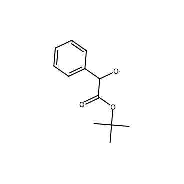 CC(C)(C)OC(=O)C([O])c1ccccc1